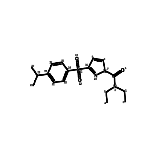 CCN(CC)C(=O)n1ccc(S(=O)(=O)c2ccc(C(C)C)cc2)n1